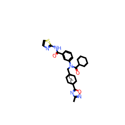 Cc1noc(C23CCC(CN(C(=O)C4CCCCC4)c4cccc(C(=O)Nc5nccs5)c4)(CC2)CC3)n1